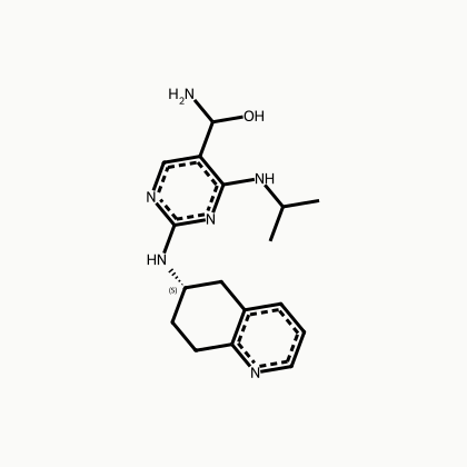 CC(C)Nc1nc(N[C@H]2CCc3ncccc3C2)ncc1C(N)O